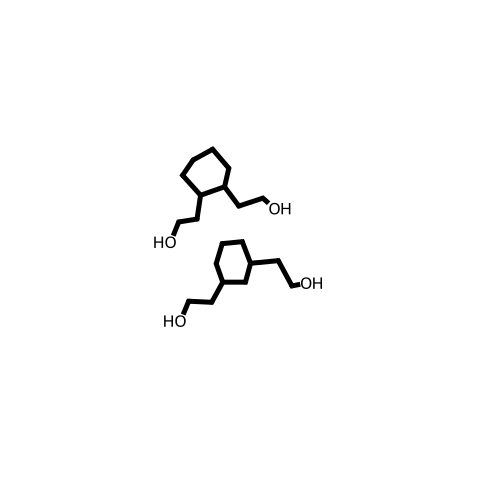 OCCC1CCCC(CCO)C1.OCCC1CCCCC1CCO